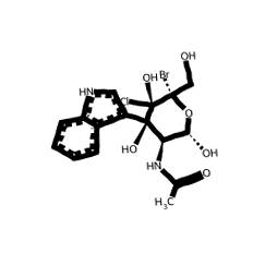 CC(=O)N[C@@H]1[C@@H](O)O[C@](Br)(CO)[C@@](O)(Cl)[C@@]1(O)c1c[nH]c2ccccc12